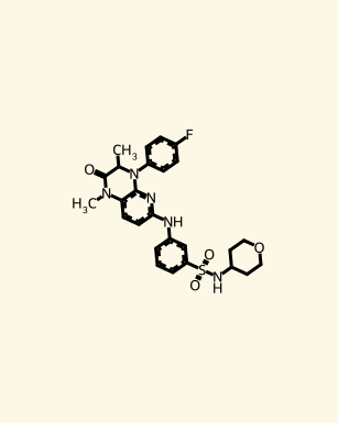 CC1C(=O)N(C)c2ccc(Nc3cccc(S(=O)(=O)NC4CCOCC4)c3)nc2N1c1ccc(F)cc1